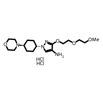 COCCOCCOc1nn([C@H]2CC[C@H](N3CCOCC3)CC2)cc1N.Cl.Cl